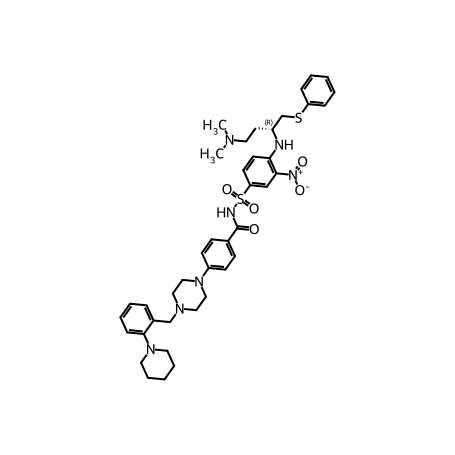 CN(C)CC[C@H](CSc1ccccc1)Nc1ccc(S(=O)(=O)NC(=O)c2ccc(N3CCN(Cc4ccccc4N4CCCCC4)CC3)cc2)cc1[N+](=O)[O-]